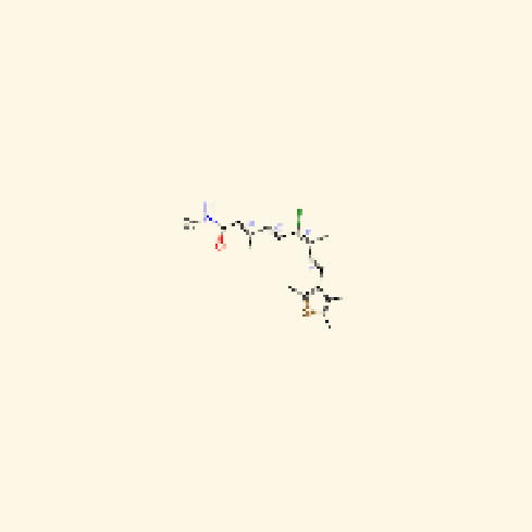 CCNC(=O)/C=C(C)/C=C/C(F)=C(C)\C=C\c1c(C)sc(C)c1C